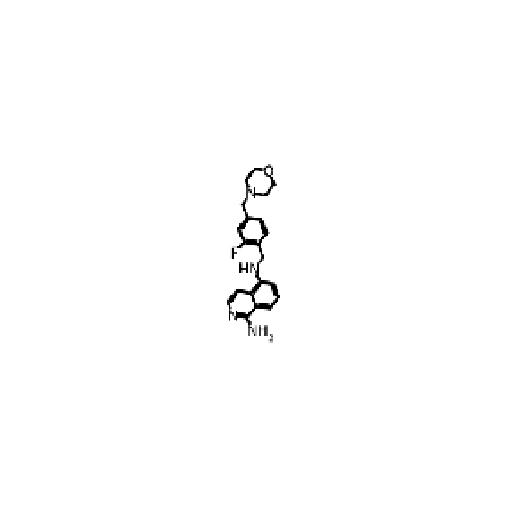 Nc1nccc2c(NCc3ccc(CN4CCOCC4)cc3F)cccc12